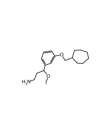 NCCC(OI)c1cccc(OCC2CCCCCC2)c1